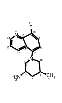 C[C@H]1C[C@@H](N)CN(c2ccc(F)c3ncccc23)C1